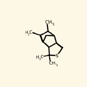 CC1C(C)C2CC1C1CSC(C)(C)C21